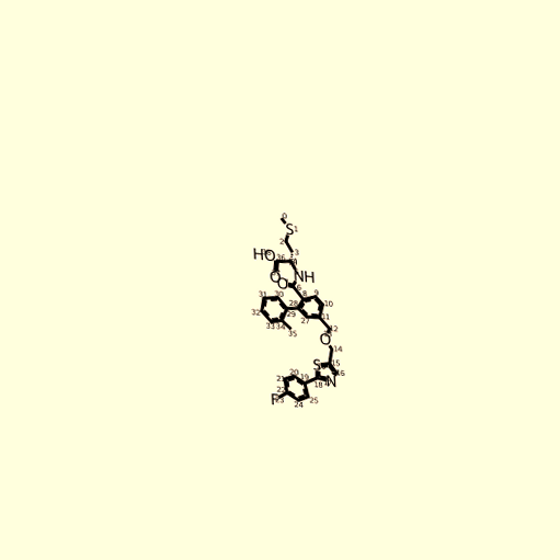 CSCC[C@H](NC(=O)c1ccc(COCc2cnc(-c3ccc(F)cc3)s2)cc1-c1ccccc1C)C(=O)O